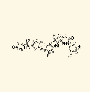 Cc1cc(=O)n(-c2cc(F)cc(F)c2)nc1C(=O)Nc1ccc(Oc2ccnc(NC(=O)N3CC(O)C3)c2)c(F)c1